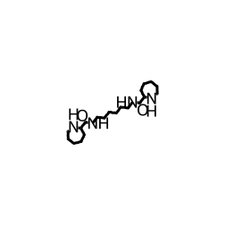 O=C(NCCCCCCNC(=O)C1CCCCCN1)C1CCCCCN1